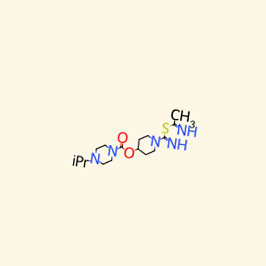 CC(=N)SC(=N)N1CCC(OC(=O)N2CCN(C(C)C)CC2)CC1